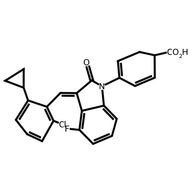 O=C(O)C1C=CC(N2C(=O)/C(=C/c3c(Cl)cccc3C3CC3)c3c(F)cccc32)=CC1